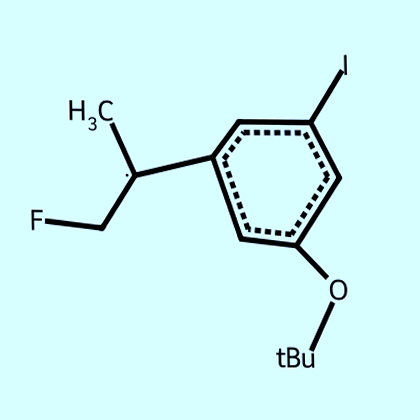 C[C](CF)c1cc(I)cc(OC(C)(C)C)c1